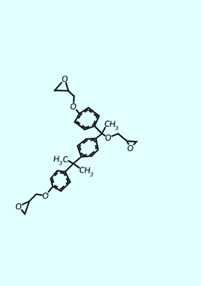 CC(C)(c1ccc(OCC2CO2)cc1)c1ccc(C(C)(OCC2CO2)c2ccc(OCC3CO3)cc2)cc1